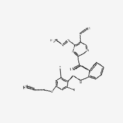 N=CCOc1cc(F)c(CNc2ccccc2C(=N)c2ncc(N=N)c(N=NN)n2)c(F)c1